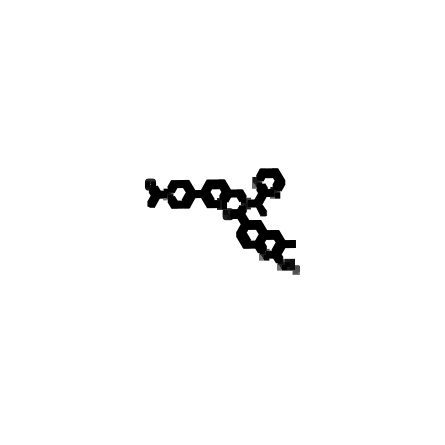 CC(=O)N1CC=C(c2ccc(CN(C(=O)c3ccc4nc(N)c(C)cc4c3)[C@H](C)c3ncccn3)nc2)CC1